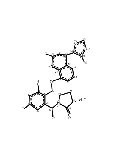 Cc1cc(Cl)c(COc2cccc3c(-c4ncnn4C)cc(C)nc23)c([C@H](C)N2CC[C@H](F)C2=O)c1